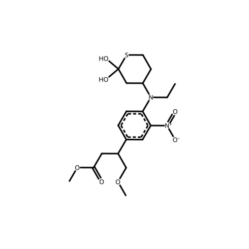 CCN(c1ccc(C(COC)CC(=O)OC)cc1[N+](=O)[O-])C1CCSC(O)(O)C1